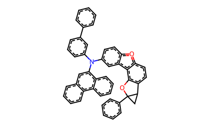 c1ccc(-c2cccc(N(c3ccc4oc5ccc6c(c5c4c3)OC3(c4ccccc4)CC63)c3cc4ccccc4c4ccccc34)c2)cc1